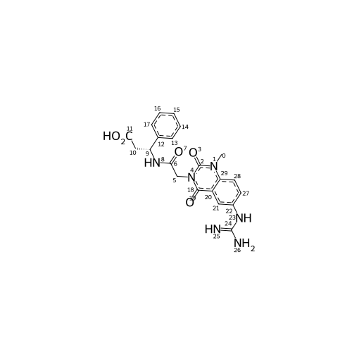 Cn1c(=O)n(CC(=O)N[C@H](CC(=O)O)c2ccccc2)c(=O)c2cc(NC(=N)N)ccc21